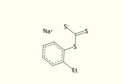 CCc1ccccc1SC(=S)[S-].[Na+]